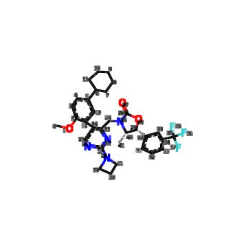 COc1ccc(C2CCCCC2)cc1-c1cnc(N2CCC2)nc1CN1C(=O)O[C@H](c2cccc(C(F)(F)F)c2)[C@@H]1C